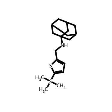 CS(C)(C)c1ccc(CNC23CC4CC(CC(C4)C2)C3)s1